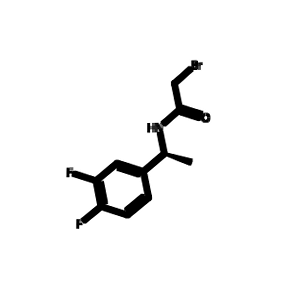 C[C@H](NC(=O)CBr)c1ccc(F)c(F)c1